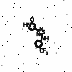 O=c1cc(-c2nsc(Nc3cccc(C(F)(F)F)c3)n2)cc[nH]1